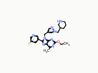 CCOc1nc(C)c2nc(-c3cncc(F)c3)n(Cc3cnn(CC4CCCNC4)c3)c2n1